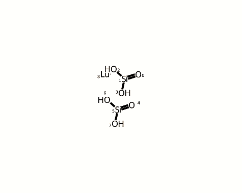 O=[Si](O)O.O=[Si](O)O.[Lu]